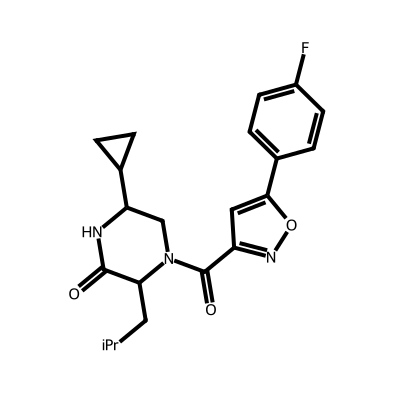 CC(C)CC1C(=O)NC(C2CC2)CN1C(=O)c1cc(-c2ccc(F)cc2)on1